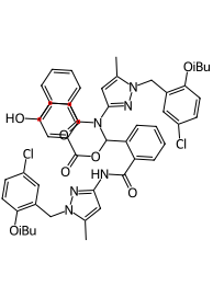 Cc1cc(NC(=O)c2ccccc2C(OC(=O)c2ccccc2)N(C(=O)c2ccccc2CO)c2cc(C)n(Cc3cc(Cl)ccc3OCC(C)C)n2)nn1Cc1cc(Cl)ccc1OCC(C)C